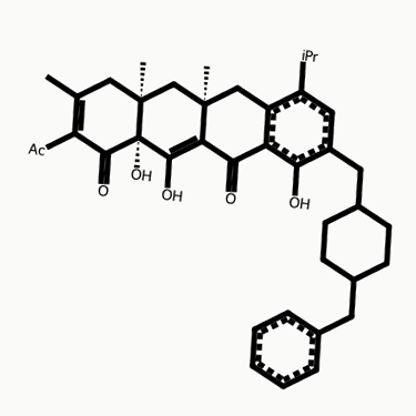 CC(=O)C1=C(C)C[C@@]2(C)C[C@@]3(C)Cc4c(C(C)C)cc(CC5CCC(Cc6ccccc6)CC5)c(O)c4C(=O)C3=C(O)[C@@]2(O)C1=O